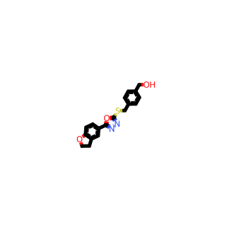 OCc1ccc(CSc2nnc(-c3ccc4c(c3)CCO4)o2)cc1